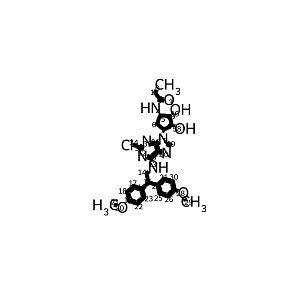 CCC(=O)N[C@H]1C[C@@H](n2cnc3c(NCC(c4ccc(OC)cc4)c4ccc(OC)cc4)nc(Cl)nc32)[C@H](O)[C@@H]1O